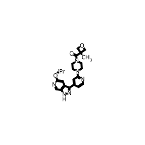 CC(C)Oc1cc2c(-c3ccnc(N4CCN(C(=O)C5(C)COC5)CC4)c3)n[nH]c2cn1